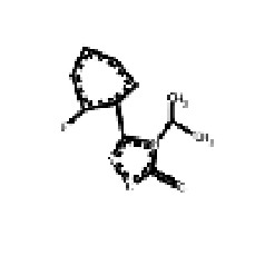 CC(C)n1c(-c2ccccc2F)noc1=O